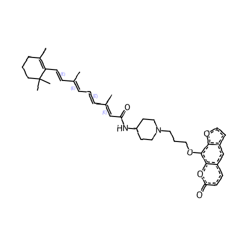 CC1=C(/C=C/C(C)=C/C=C/C(C)=C/C(=O)NC2CCN(CCCOc3c4occc4cc4ccc(=O)oc34)CC2)C(C)(C)CCC1